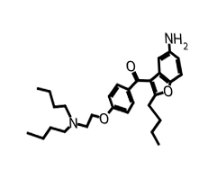 CCCCc1oc2ccc(N)cc2c1C(=O)c1ccc(OCCN(CCCC)CCCC)cc1